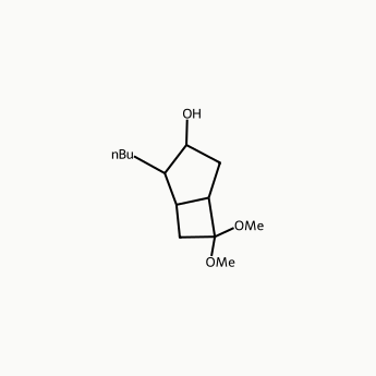 CCCCC1C(O)CC2C1CC2(OC)OC